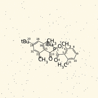 CCC(C)P(=O)(C(=O)c1c(C)cccc1C)C(=O)c1c(C)cc(C(C)(C)C)cc1C